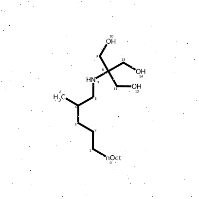 CCCCCCCCCCCC(C)CNC(CO)(CO)CO